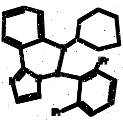 CC(C)c1cccc(C(C)C)c1B1N(C2CCCCC2)c2ccccc2-c2nccn21